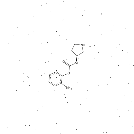 Nc1ccccc1OC(=O)N[C@H]1CCNC1